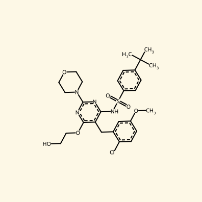 COc1ccc(Cl)c(Cc2c(NS(=O)(=O)c3ccc(C(C)(C)C)cc3)nc(N3CCOCC3)nc2OCCO)c1